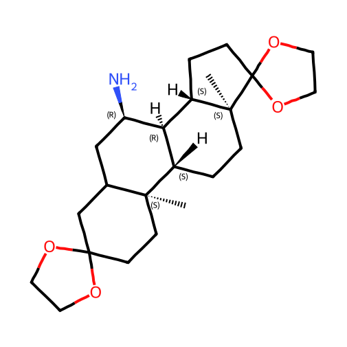 C[C@]12CCC3(CC1C[C@@H](N)[C@@H]1[C@@H]2CC[C@@]2(C)[C@H]1CCC21OCCO1)OCCO3